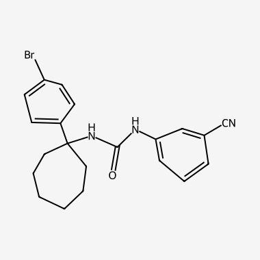 N#Cc1cccc(NC(=O)NC2(c3ccc(Br)cc3)CCCCCC2)c1